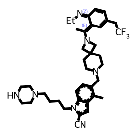 CC/N=C1/C=CC(CC(F)(F)F)=C/C1=C(/C)N1CC2(CCN(Cc3ccc4c(cc(C#N)n4CCCCN4CCNCC4)c3C)CC2)C1